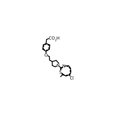 Cc1cc(Cl)cccnc(N2CCC(CCOc3ccc(CC(=O)O)cc3)CC2)s1